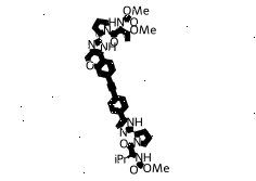 COC(=O)N[C@H](C(=O)N1CCC[C@H]1c1ncc(-c2ccc(C#Cc3ccc4c(c3)OCc3nc([C@@H]5CCCN5C(=O)[C@@H](NC(=O)OC)[C@@H](C)OC)[nH]c3-4)cc2)[nH]1)C(C)C